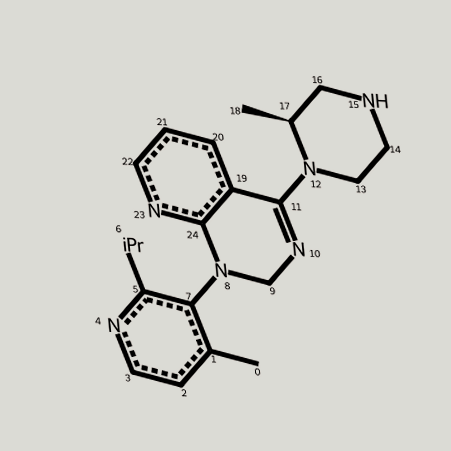 Cc1ccnc(C(C)C)c1N1CN=C(N2CCNC[C@@H]2C)c2cccnc21